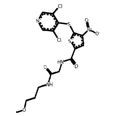 COCCCNC(=O)CNC(=O)c1cc([N+](=O)[O-])c(Sc2c(Cl)cncc2Cl)s1